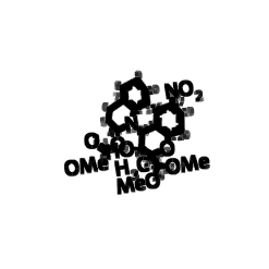 COC(=O)O[C@@H]1CCc2ccccc2N1[C@H]1c2cc([N+](=O)[O-])ccc2O[C@](C)(C(OC)OC)[C@@H]1O